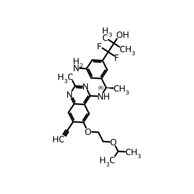 C#Cc1cc2nc(C)nc(N[C@H](C)c3cc(N)cc(C(F)(F)C(C)(C)O)c3)c2cc1OCCOC(C)C